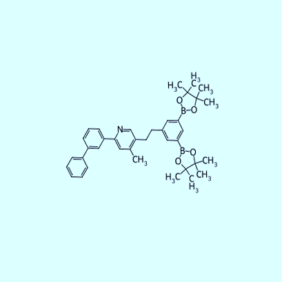 Cc1cc(-c2cccc(-c3ccccc3)c2)ncc1CCc1cc(B2OC(C)(C)C(C)(C)O2)cc(B2OC(C)(C)C(C)(C)O2)c1